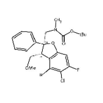 COC[C@H]1c2c(cc(F)c(Cl)c2Br)O[C@]1(CN(C)C(=O)OC(C)(C)C)c1ccccc1